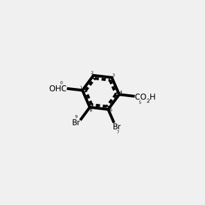 O=Cc1ccc(C(=O)O)c(Br)c1Br